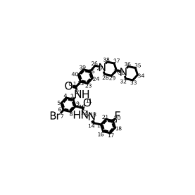 O=C(Nc1ccc(Br)cc1C(=O)N/N=C/c1cccc(F)c1)c1ccc(CN2CCC(N3CCCCC3)CC2)cc1